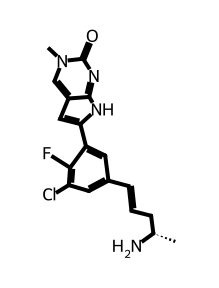 C[C@H](N)C/C=C/c1cc(Cl)c(F)c(-c2cc3cn(C)c(=O)nc3[nH]2)c1